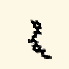 CCC(CO/N=C(\C)c1cccc(C)n1)Cc1cccc(/C(C)=N/OC)n1